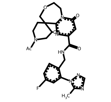 CC(=O)N1CCC2(COCCn3c2nc(C(=O)NCc2ccc(F)cc2-n2ncnc2C)cc3=O)C(O)C1